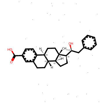 C[C@]12CC[C@@H]3c4ccc(C(=O)O)cc4CC[C@H]3[C@@H]1CC[C@@H]2[C@@H](O)Cc1ccccc1